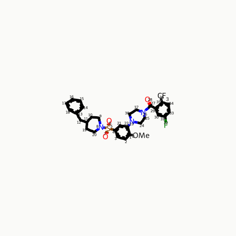 COc1ccc(S(=O)(=O)N2CCC(Cc3ccccc3)CC2)cc1N1CCN(C(=O)c2cc(F)ccc2C(F)(F)F)CC1